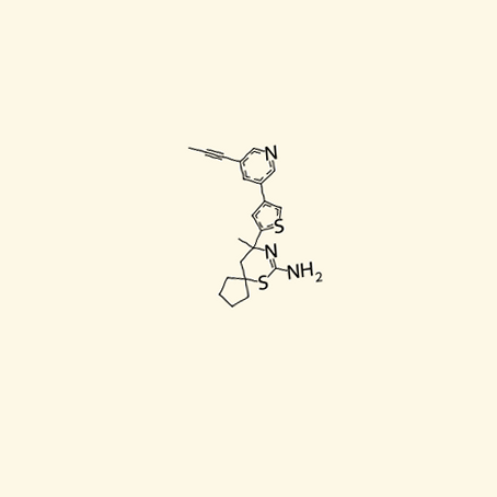 CC#Cc1cncc(-c2csc(C3(C)CC4(CCCC4)SC(N)=N3)c2)c1